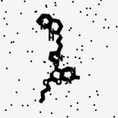 CCCCOC(=O)C[C@@H](c1cnc(C)nc1)n1ccc(CCC[C@H]2CCc3cccnc3N2)n1